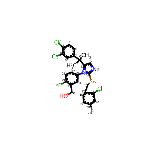 CC(C)(c1ccc(Cl)c(Cl)c1)c1cnc(SCc2ccc(F)cc2Cl)n1-c1ccc(F)c(CO)c1